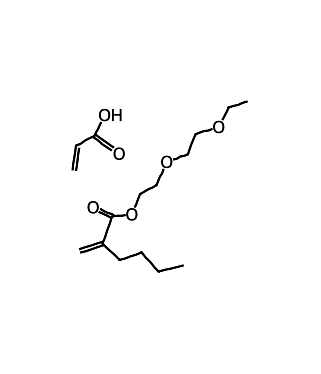 C=C(CCCC)C(=O)OCCOCCOCC.C=CC(=O)O